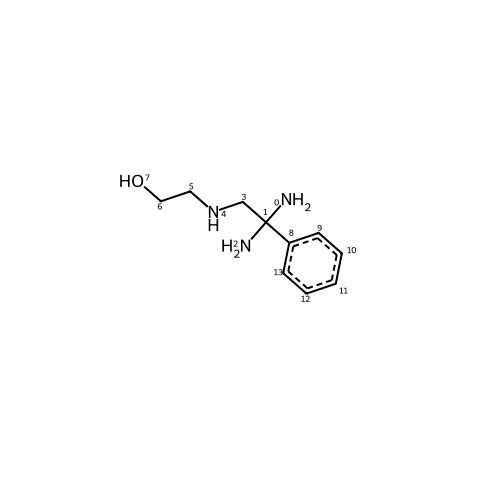 NC(N)(CNCCO)c1ccccc1